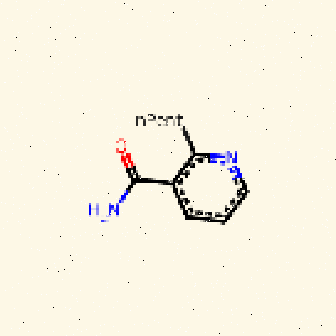 CCCCCc1ncccc1C(N)=O